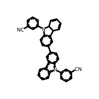 N#Cc1cccc(N2c3ccc(-c4ccc5c(c4)c4ccccc4n5-c4cccc(C#N)c4)cc3C3C=CC=CC32)c1